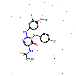 CCOC(=O)C(=O)Nc1cnc(Nc2ccc(OC(C)C)c(F)c2)n(Cc2ccc(Cl)cc2)c1=O